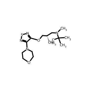 CN(C[C@H](O)COc1nsnc1N1CCOCC1)C(C)(C)C